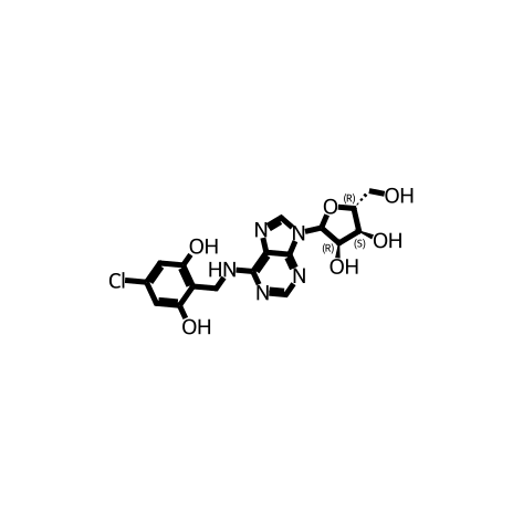 OC[C@H]1OC(n2cnc3c(NCc4c(O)cc(Cl)cc4O)ncnc32)[C@H](O)[C@@H]1O